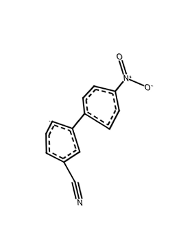 N#Cc1cc[c]c(-c2ccc([N+](=O)[O-])cc2)c1